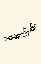 O=C(COc1ccc(Cl)c(F)c1)NCC[C@@H](O)Cc1ncc(-c2ccc(Cl)cc2)[nH]1